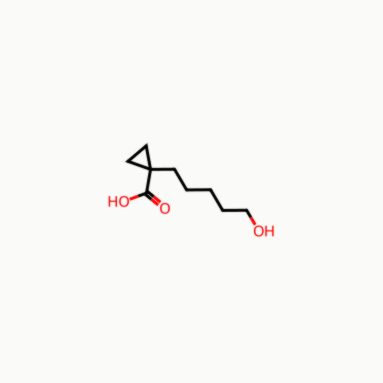 O=C(O)C1(CCCCCO)CC1